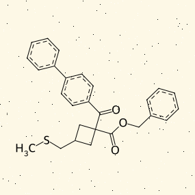 CSCC1CC(C(=O)OCc2ccccc2)(C(=O)c2ccc(-c3ccccc3)cc2)C1